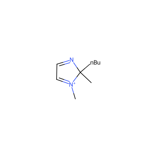 CCCCC1(C)N=CC=[N+]1C